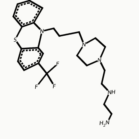 NCCNCCN1CCN(CCCN2c3ccccc3Sc3ccc(C(F)(F)F)cc32)CC1